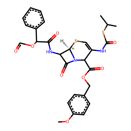 COc1ccc(COC(=O)C2C(NC(=O)SC(C)C)=CS[C@@H]3C(NC(=O)C(OC=O)c4ccccc4)C(=O)N23)cc1